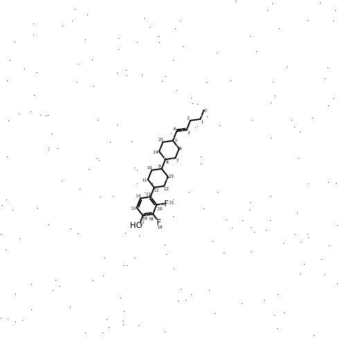 CCC/C=C/C1CCC(C2CCC(c3ccc(O)c(F)c3F)CC2)CC1